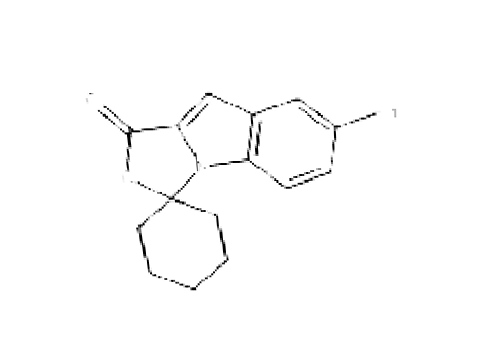 CC(C)c1ccc2c(c1)cc1n2C2(CCCCC2)OC1=O